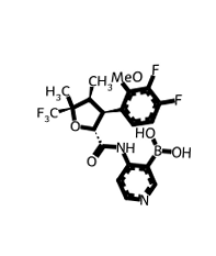 COc1c([C@H]2[C@H](C(=O)Nc3ccncc3B(O)O)O[C@@](C)(C(F)(F)F)[C@H]2C)ccc(F)c1F